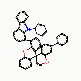 C1=CCC(n2c3ccccc3c3cccc(-c4cccc5c4Oc4ccccc4C54c5ccccc5Oc5cc(-c6ccccc6)ccc54)c32)C=C1